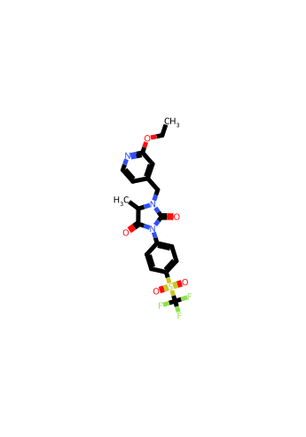 CCOc1cc(CN2C(=O)N(c3ccc(S(=O)(=O)C(F)(F)F)cc3)C(=O)C2C)ccn1